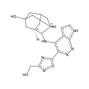 OCc1noc(-c2nnc3[nH]ccc3c2NC2[C@@H]3CC4C[C@H]2CC(O)(C4)C3)n1